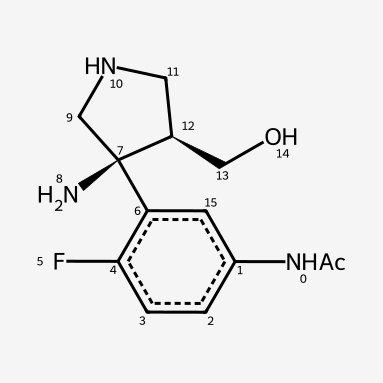 CC(=O)Nc1ccc(F)c([C@]2(N)CNC[C@H]2CO)c1